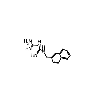 N=C(N)NC(=N)NCc1ccc2ccccc2c1